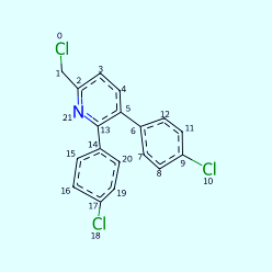 ClCc1ccc(-c2ccc(Cl)cc2)c(-c2ccc(Cl)cc2)n1